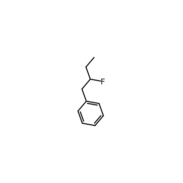 CCC(F)Cc1ccccc1